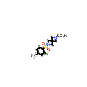 O=C(O)N1CC2(C1)CN(S(=O)(=O)c1ccc(C(F)(F)F)cc1F)C2